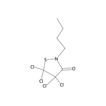 CCCCN1SC(Cl)(Cl)C(Cl)(Cl)C1=O